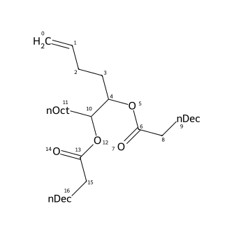 C=CCCC(OC(=O)CCCCCCCCCCC)C(CCCCCCCC)OC(=O)CCCCCCCCCCC